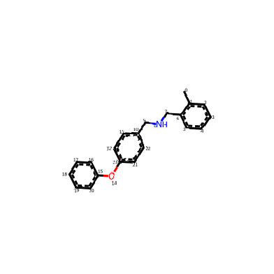 Cc1ccccc1CNCc1ccc(Oc2ccccc2)cc1